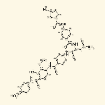 CC(C)Oc1c(NC(=O)c2ccc(NC(=O)[C@H](CC(N)=O)NC(=O)c3ccc(NC(=O)c4ccc(C#N)s4)cc3)cc2)ccc(C(=O)Nc2ccc(C(=O)O)cc2)c1O